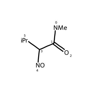 CNC(=O)C(N=O)C(C)C